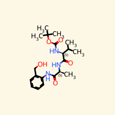 CC(C)[C@H](NC(=O)OC(C)(C)C)C(=O)N[C@@H](C)C(=O)Nc1ccccc1CO